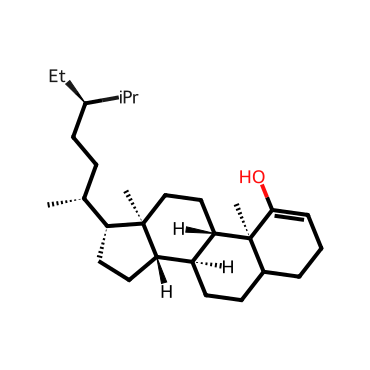 CC[C@H](CC[C@@H](C)[C@H]1CC[C@H]2[C@@H]3CCC4CCC=C(O)[C@]4(C)[C@H]3CC[C@]12C)C(C)C